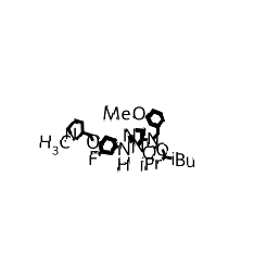 CCC(C)C(OC(=O)N(Cc1cccc(OC)c1)c1ccnc(Nc2ccc(OCC3CCCN(C)C3)c(F)c2)n1)C(C)C